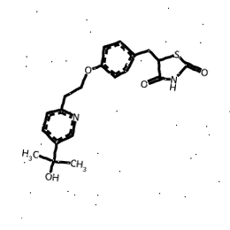 CC(C)(O)c1ccc(CCOc2ccc(CC3SC(=O)NC3=O)cc2)nc1